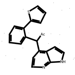 CC(=O)C(c1ccccc1-c1cccs1)c1ccnc2[nH]ccc12